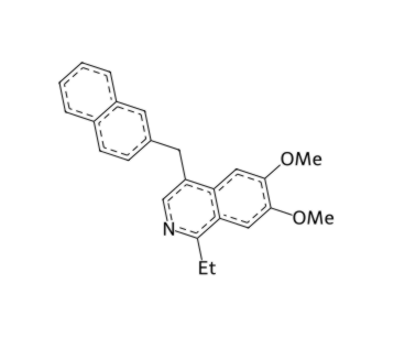 CCc1ncc(Cc2ccc3ccccc3c2)c2cc(OC)c(OC)cc12